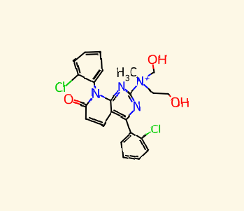 C[N+](CO)(CCO)c1nc(-c2ccccc2Cl)c2ccc(=O)n(-c3ccccc3Cl)c2n1